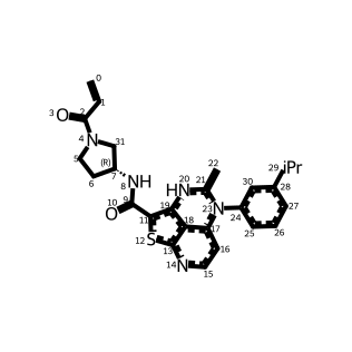 C=CC(=O)N1CC[C@@H](NC(=O)c2sc3nccc4c3c2[nH]c(=C)n4-c2cccc(C(C)C)c2)C1